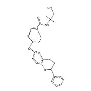 CC(C)(CO)NC(=O)C1CCC(Oc2ccc3c(c2)CCC(c2ccccc2)O3)CC1